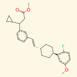 COC(=O)CC(c1cccc(/C=C/[C@H]2CC[C@H](c3cc(OC)ccc3F)CC2)c1)C1CC1